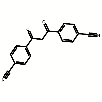 N#Cc1ccc(C(=O)CC(=O)c2ccc(C#N)cc2)cc1